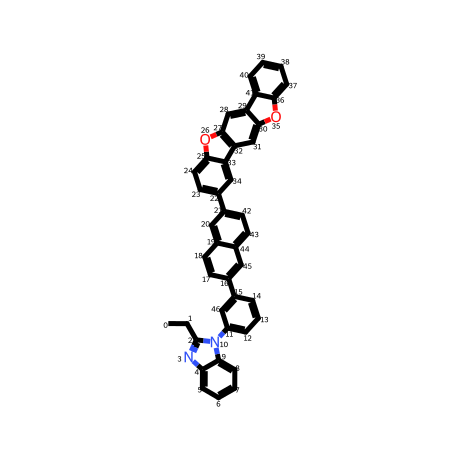 CCc1nc2ccccc2n1-c1cccc(-c2ccc3cc(-c4ccc5oc6cc7c(cc6c5c4)oc4ccccc47)ccc3c2)c1